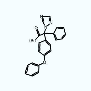 CC(C)(C)C(=O)C(c1ccccc1)(c1ccc(Oc2ccccc2)cc1)n1cncn1